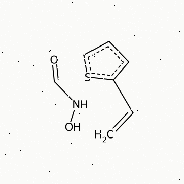 C=Cc1cccs1.O=CNO